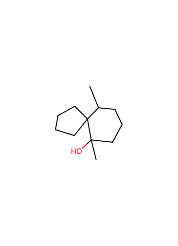 CC1CCCC(C)(O)C12CCCC2